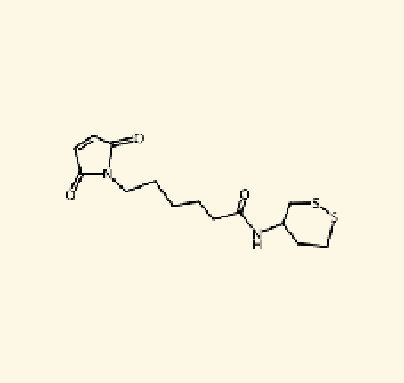 O=C(CCCCCN1C(=O)C=CC1=O)NC1CCSSC1